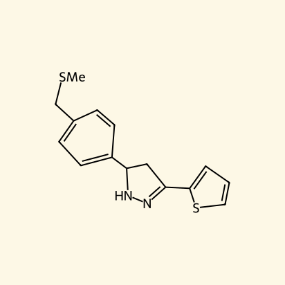 CSCc1ccc(C2CC(c3cccs3)=NN2)cc1